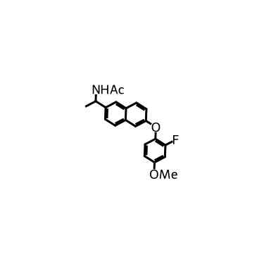 COc1ccc(Oc2ccc3cc(C(C)NC(C)=O)ccc3c2)c(F)c1